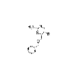 Nc1ncc(Br)c(COCc2ccccc2)n1